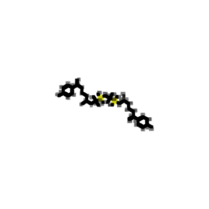 C=C(CCCC(C)CC(C)(C)S(C)(C)CC(C)(C)S(C)(C)C[C@@H](C)CCCC(=C)c1ccc(C)cc1)c1ccc(C)cc1